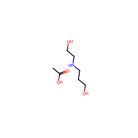 CC(=O)O.OCCCNCCO